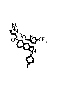 CCn1ccc(S(=O)(=O)[C@H]2CCC3=Cc4c(cnn4-c4ccc(F)cc4)C[C@]3(C(=O)c3ccc(C(F)(F)F)cn3)C2)n1